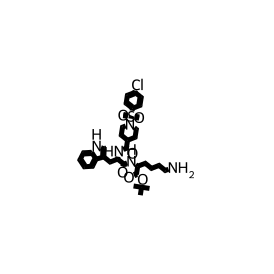 CC(C)(C)OC(=O)C(CCCCN)NC(=O)C(Cc1c[nH]c2ccccc12)NC(=O)C1CCN(S(=O)(=O)c2ccc(Cl)cc2)CC1